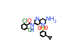 NC1Cc2ncc(NC(=O)c3c(Cl)cccc3Cl)cc2N(S(=O)(=O)c2cccc(C3CC3)c2)C1